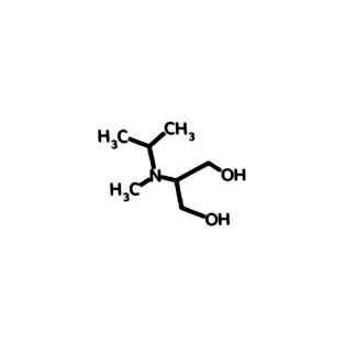 CC(C)N(C)C(CO)CO